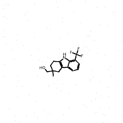 CC1(CO)CCc2[nH]c3c(C(F)(F)F)cccc3c2C1